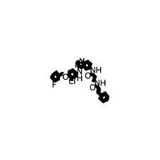 O=C(/C=C/c1ccccc1)NCCC(=O)Nc1ccc2ncnc(Nc3ccc(OCc4cccc(F)c4)c(Cl)c3)c2c1